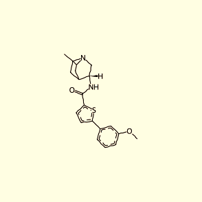 COc1cccc(-c2ccc(C(=O)N[C@H]3CN4CCC3CC4C)s2)c1